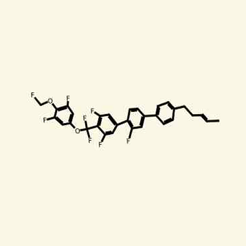 C/C=C/CCc1ccc(-c2ccc(-c3cc(F)c(C(F)(F)Oc4cc(F)c(OCF)c(F)c4)c(F)c3)c(F)c2)cc1